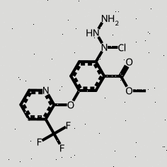 COC(=O)c1cc(Oc2ncccc2C(F)(F)F)ccc1N(Cl)NN